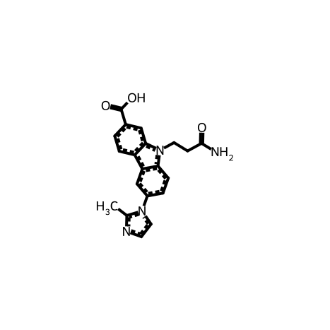 Cc1nccn1-c1ccc2c(c1)c1ccc(C(=O)O)cc1n2CCC(N)=O